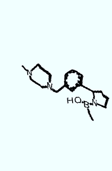 CB(O)N1CCCC1c1cccc(CN2CCN(C)CC2)c1